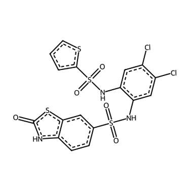 O=c1[nH]c2ccc(S(=O)(=O)Nc3cc(Cl)c(Cl)cc3NS(=O)(=O)c3cccs3)cc2s1